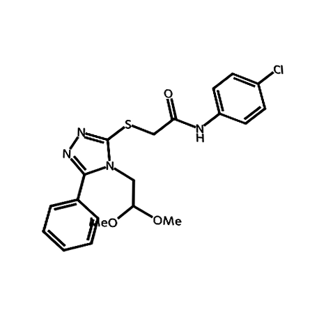 COC(Cn1c(SCC(=O)Nc2ccc(Cl)cc2)nnc1-c1ccccc1)OC